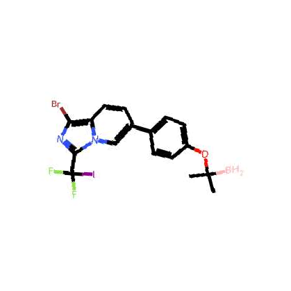 BC(C)(C)Oc1ccc(-c2ccc3c(Br)nc(C(F)(F)I)n3c2)cc1